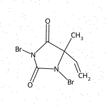 C=CC1(C)C(=O)N(Br)C(=O)N1Br